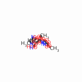 CCOC(=O)C(=O)C1N=NN(C2OC(COC(C(=O)O)P(NC(C)C)OCC#N)C(OC(C)=O)C2OC(C)=O)C(=O)C1=O